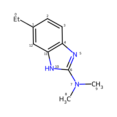 CCc1ccc2nc(N(C)C)[nH]c2c1